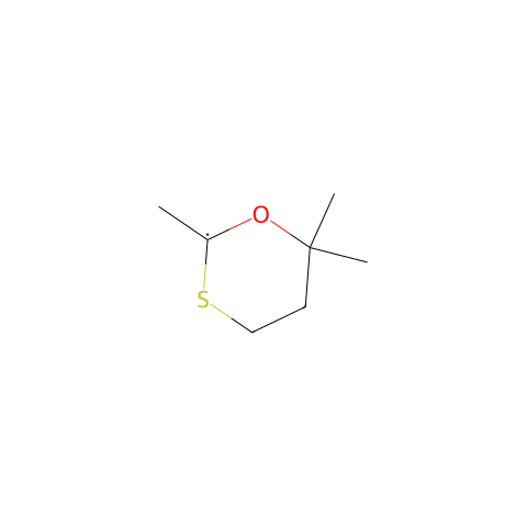 C[C]1OC(C)(C)CCS1